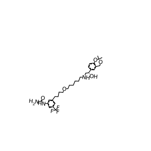 CC1(C)OCc2cc([C@H](O)CNCCCCCCOCCCCc3cc(NC(N)=O)cc(C(F)(F)F)c3)ccc2O1